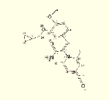 COc1ccc(/C=C(\C(N)=O)N2C(C)=CC(=C=O)C=C2C)cc1OCC1CC1